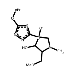 CCCOc1nnc([N+]2([O-])CN(C)C(COC)C2O)s1